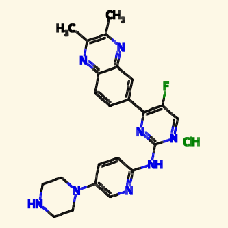 Cc1nc2ccc(-c3nc(Nc4ccc(N5CCNCC5)cn4)ncc3F)cc2nc1C.Cl